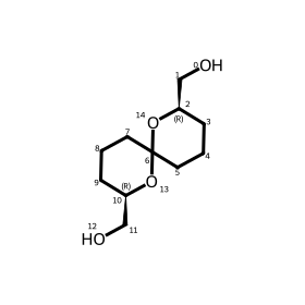 OC[C@H]1CCCC2(CCC[C@H](CO)O2)O1